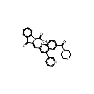 CC(=O)N1/C(=C\c2cc(-c3cccnc3)c3cc(C(=O)N4CCOCC4)ccc3n2)C(=O)c2ccccc21